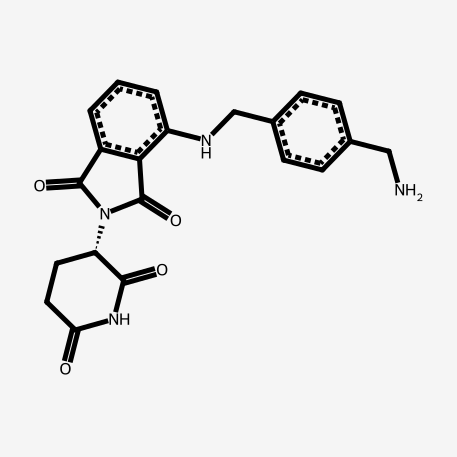 NCc1ccc(CNc2cccc3c2C(=O)N([C@H]2CCC(=O)NC2=O)C3=O)cc1